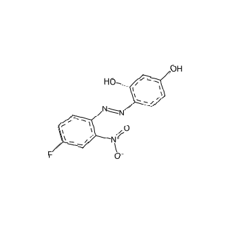 O=[N+]([O-])c1cc(F)ccc1N=Nc1ccc(O)cc1O